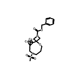 CS(=O)(=O)N1CCCOC2(CN(C(=O)OCc3ccccc3)C2)[C]23[Co]4[Co]2[C]43C1